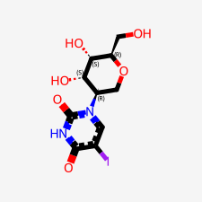 O=c1[nH]c(=O)n([C@@H]2CO[C@H](CO)[C@@H](O)[C@H]2O)cc1I